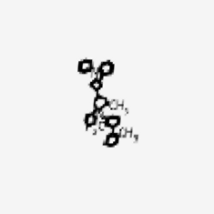 Cc1ccccc1-c1cccc(-n2c3c(c4ccccc42)C=C(c2ccc4c(c2)c2ccccc2n4-c2ccccc2)CC3C)c1C